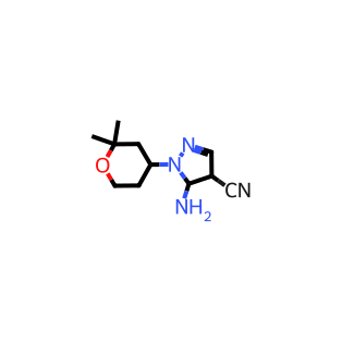 CC1(C)CC(N2N=CC(C#N)C2N)CCO1